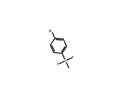 CS(F)(F)c1ccc(Br)cc1